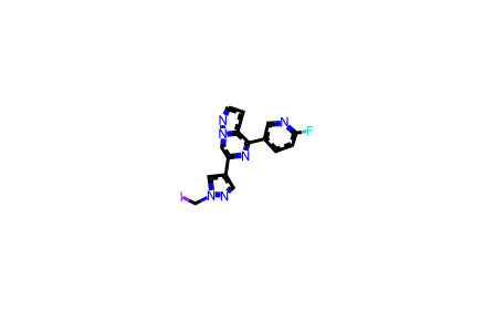 Fc1ccc(-c2nc(-c3cnn(CI)c3)cn3nccc23)cn1